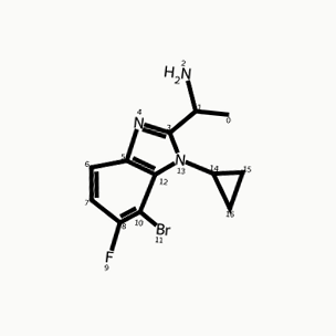 CC(N)c1nc2ccc(F)c(Br)c2n1C1CC1